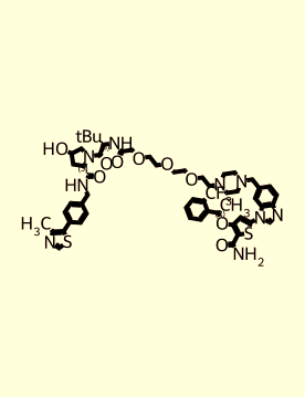 Cc1ncsc1-c1ccc(CNC(=O)[C@@H]2CC(O)CN2C(=O)[C@@H](NC(=O)COCCOCCOCCN2CCN(Cc3ccc4ncn(-c5cc(O[C@H](C)c6ccccc6C(F)(F)F)c(C(N)=O)s5)c4c3)CC2)C(C)(C)C)cc1